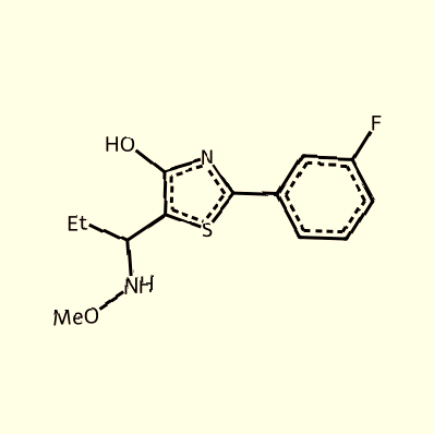 CCC(NOC)c1sc(-c2cccc(F)c2)nc1O